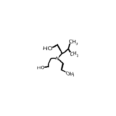 CC(C)C(CO)N(CCO)CCO